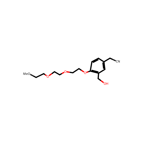 COCCOCCOCCOc1ccc(CC#N)cc1CO